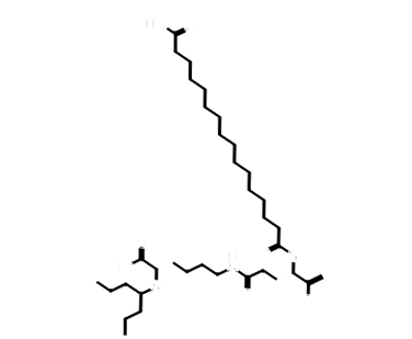 C=C(O)[C@H](CCC(=O)NCCCC[C@H](NC(CCC)CCC)C(=O)O)NC(=O)CCCCCCCCCCCCCCC(=O)O